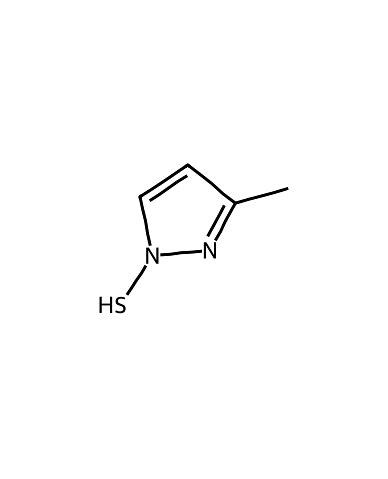 Cc1ccn(S)n1